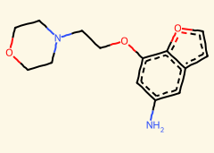 Nc1cc(OCCN2CCOCC2)c2occc2c1